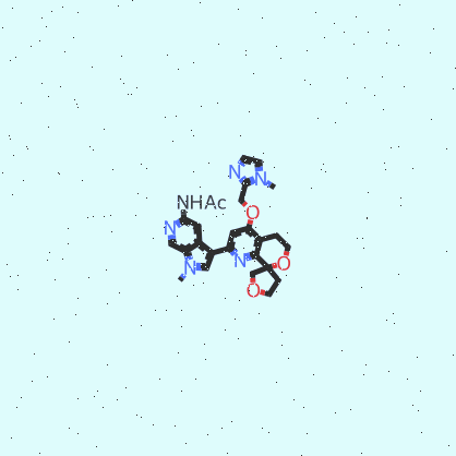 CC(=O)Nc1cc2c(-c3cc(OCc4nccn4C)c4c(n3)C3(CCOC3)OCC4)cn(C)c2cn1